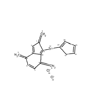 C=C1C=c2c(=C)ccc(=C)c2=[C]1[Zr+2][C]1=CC=CC1.[Cl-].[Cl-]